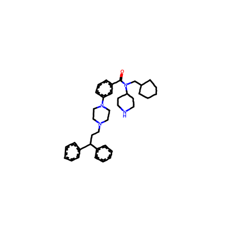 O=C(c1cccc(N2CCN(CCC(c3ccccc3)c3ccccc3)CC2)c1)N(CC1CCCCC1)C1CCNCC1